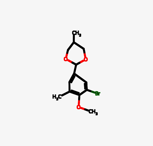 COc1c(C)cc(C2OCC(C)CO2)cc1Br